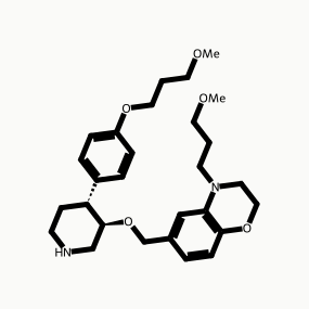 COCCCOc1ccc([C@H]2CCNC[C@@H]2OCc2ccc3c(c2)N(CCCOC)CCO3)cc1